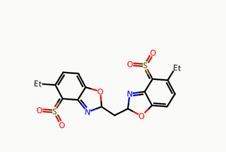 CCC1=CC=C2OC(CC3N=C4C(=CC=C(CC)C4=S(=O)=O)O3)N=C2C1=S(=O)=O